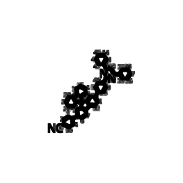 N#Cc1ccc(-c2ccc3c(c2)C(c2ccccc2)(c2ccccc2)c2cc(-c4ccc(-c5nc(-c6ccccc6)cc(-c6ccccc6)n5)cc4)ccc2-3)cc1